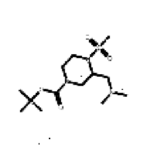 CN(C)CC1CN(C(=O)OC(C)(C)C)CCN1S(C)(=O)=O